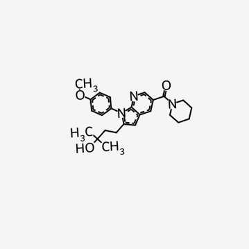 COc1ccc(-n2c(CCC(C)(C)O)cc3cc(C(=O)N4CCCCC4)cnc32)cc1